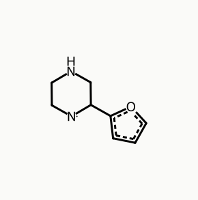 c1coc(C2CNCC[N]2)c1